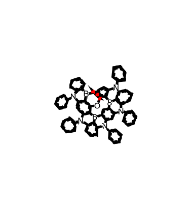 c1ccc(N2c3ccccc3B3c4cc5c(cc4N(c4ccccc4)c4cccc2c43)N(c2ccccc2)c2cccc3c2B5c2c(cc4c5c2Oc2ccccc2B5c2ccccc2N4c2ccccc2)N3c2ccccc2)cc1